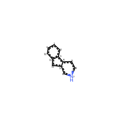 c1ccc2c3cc[nH]cc-3cc2c1